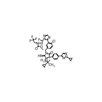 CC(C)(C[C@]1(c2ccc(-c3cnn(C4CC4)n3)cc2)NC(=N)N([C@H](COC(=O)NCC(F)(F)F)c2ccc(Cl)c(-c3ncnn3C(F)F)c2)C1=O)C1CC1